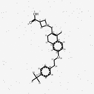 CC1=C(CN2CC(C(=O)O)C2)CCc2cc(OCCc3ccc(C(C)(C)C)cc3)ccc21